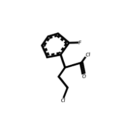 O=C(Cl)C(CCCl)c1ccccc1F